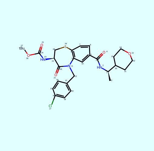 C[C@@H](NC(=O)c1ccc2c(c1)N(Cc1ccc(Cl)cc1)C(=O)[C@@H](NC(=O)OC(C)(C)C)CS2)C1CCOCC1